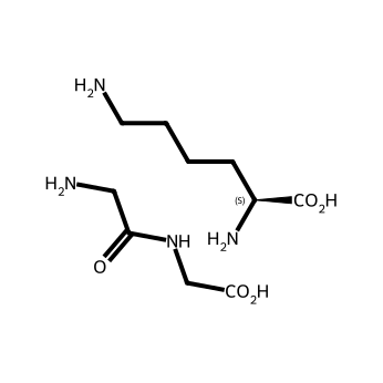 NCC(=O)NCC(=O)O.NCCCC[C@H](N)C(=O)O